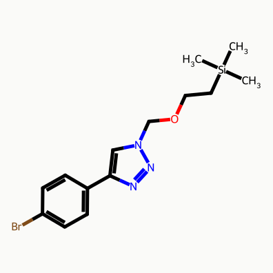 C[Si](C)(C)CCOCn1cc(-c2ccc(Br)cc2)nn1